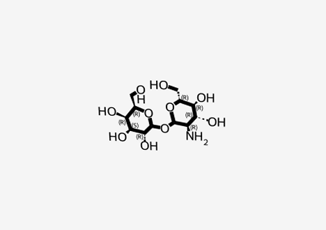 N[C@H]1C(OC2O[C@H](CO)[C@H](O)[C@H](O)[C@H]2O)O[C@H](CO)[C@H](O)[C@@H]1O